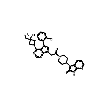 CCC1(O)CN(c2ncnc3c2c(-c2ccccc2Cl)cn3CC(=O)N2CCC(n3c(=O)[nH]c4ncccc43)CC2)C1